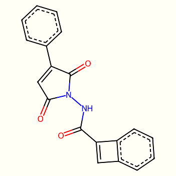 O=C(NN1C(=O)C=C(c2ccccc2)C1=O)C1=Cc2ccccc21